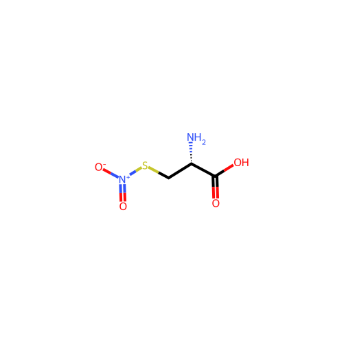 N[C@@H](CS[N+](=O)[O-])C(=O)O